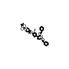 CC(C)(C)OC(=O)N1CCC2(CC1)CN(c1ccc(-c3ccc(OCc4ccccc4)nc3OCc3ccccc3)cc1F)C2